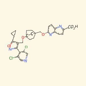 O=C(O)c1ccc2nc(OCC34CCC(OCc5c(-c6c(Cl)cncc6Cl)noc5C5CC5)(CC3)CC4)ccc2n1